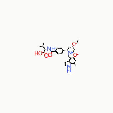 CCO[C@@H]1CCN(Cc2c(OC)cc(C)c3[nH]ccc23)[C@H](c2ccc(C(=O)N[C@H](C(=O)O)C(C)C)cc2)C1